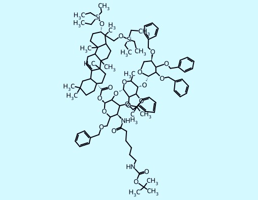 CC[Si](CC)(CC)OCC1(C)C2CCC3(C)C(CC=C4C5CC(C)(C)CC[C@]5(C(=O)O[C@@H]5OC(COCc6ccccc6)[C@H](NC(=O)CCCCCNC(=O)OC(C)(C)C)C(OCc6ccccc6)C5O[C@@H]5OC(C)[C@H](O[C@@H]6OC[C@@H](OCc7ccccc7)C(OCc7ccccc7)C6OCc6ccccc6)C6OC(C)(C)OC65)CCC43C)C2(C)CC[C@@H]1O[Si](CC)(CC)CC